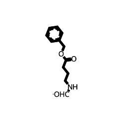 O=[C]NCCCC(=O)OCc1ccccc1